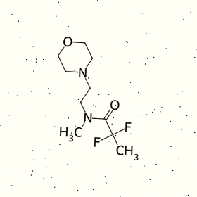 CN(CCN1CCOCC1)C(=O)C(C)(F)F